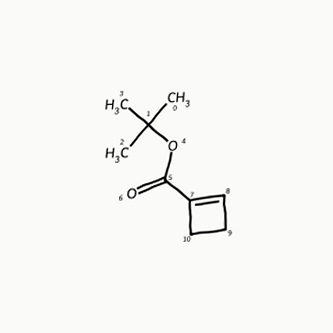 CC(C)(C)OC(=O)C1=CCC1